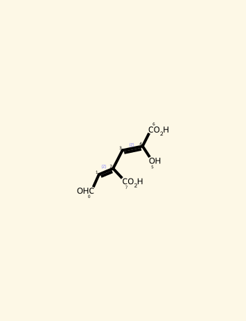 O=C/C=C(/C=C(\O)C(=O)O)C(=O)O